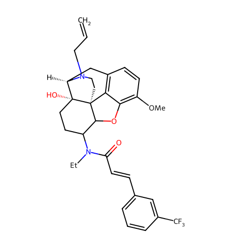 C=CCN1CC[C@]23c4c5ccc(OC)c4OC2C(N(CC)C(=O)/C=C/c2cccc(C(F)(F)F)c2)CC[C@@]3(O)[C@H]1C5